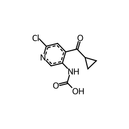 O=C(O)Nc1cnc(Cl)cc1C(=O)C1CC1